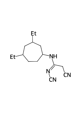 CCC1CCC(NC(CC#N)=NC#N)CC(CC)C1